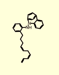 C=C/C=C\C/C=C\CCCc1ccccc1NN1c2ccc(cc2)-c2ccccc21